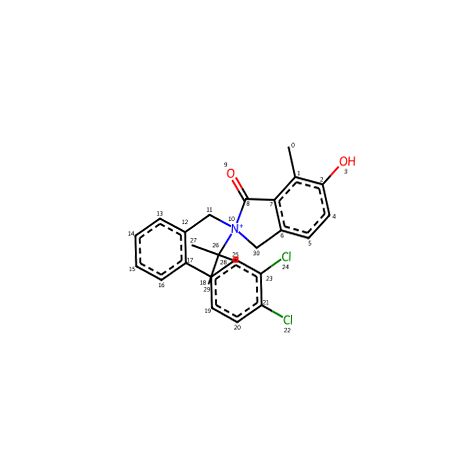 Cc1c(O)ccc2c1C(=O)[N+](Cc1ccccc1-c1ccc(Cl)c(Cl)c1)(C(C)(C)C)C2